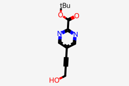 CC(C)(C)OC(=O)c1ncc(C#CCO)cn1